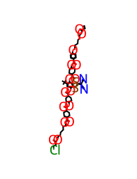 C=CC(=O)OCCCCCCOc1ccc(C(=O)OC2CCC(C(=O)Oc3c(C(C)(C)C)cc(OC(=O)C4CCC(OC(=O)C5CCC(C(=O)OCCCCCCOC(=O)CCCl)CC5)CC4)c4c3SC(=C(C#N)C#N)S4)CC2)cc1